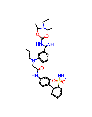 CCCN(CC(=O)Nc1ccc(-c2ccccc2S(N)(=O)=O)cc1)c1cccc(C(=N)NC(=O)OC(C)N(CC)CC)c1